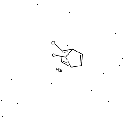 Br.ClC1=C2C=CC(=C1)C2Cl